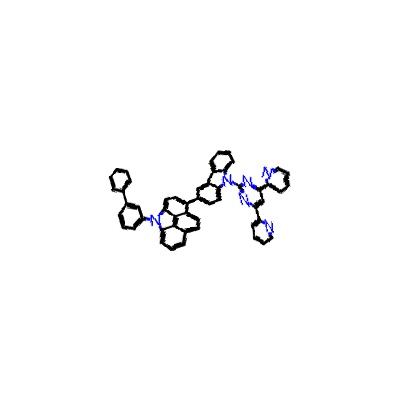 c1ccc(-c2cccc(-n3c4cccc5ccc6c(-c7ccc8c(c7)c7ccccc7n8-c7nc(-c8ccccn8)cc(-c8ccccn8)n7)ccc3c6c54)c2)cc1